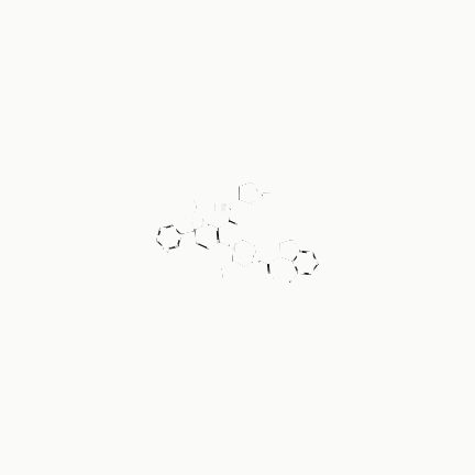 CCOC1(c2cccnc2)C=CC(N2CCN(C(=O)C3CCc4cccc(Cl)c43)C[C@H]2CC)=C(C(=O)N[C@@H]2CCN(C)C2)N1